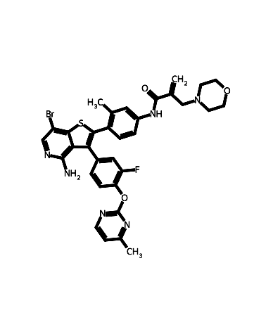 C=C(CN1CCOCC1)C(=O)Nc1ccc(-c2sc3c(Br)cnc(N)c3c2-c2ccc(Oc3nccc(C)n3)c(F)c2)c(C)c1